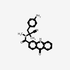 CN(C(=O)c1ccc2c(=O)c3ccccc3[nH]c2c1)C(C)(C#N)Cc1ccc(P)cc1